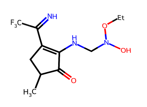 CCON(O)CNC1=C(C(=N)C(F)(F)F)CC(C)C1=O